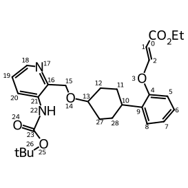 CCOC(=O)/C=C/Oc1ccccc1C1CCC(OCc2ncccc2NC(=O)OC(C)(C)C)CC1